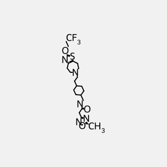 Cc1nc(CC(=O)/N=C/C2CCC(CCN3CCc4nc(OCCC(F)(F)F)sc4CC3)CC2)no1